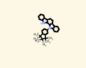 CC1(C)c2ccc(-n3c4ccccc4c4ccc5c6ccccc6[nH]c5c43)cc2C(C)(C)C1(C)C